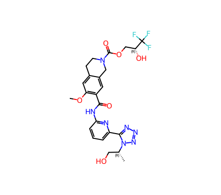 COc1cc2c(cc1C(=O)Nc1cccc(-c3nnnn3[C@H](C)CO)n1)CN(C(=O)OC[C@@H](O)C(F)(F)F)CC2